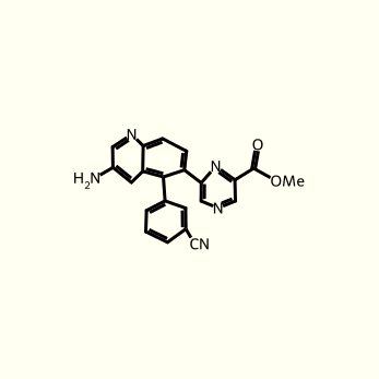 COC(=O)c1cncc(-c2ccc3ncc(N)cc3c2-c2cccc(C#N)c2)n1